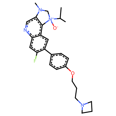 CC(C)[N+]1([O-])CN(C)c2cnc3cc(F)c(-c4ccc(OCCCN5CCC5)cc4)cc3c21